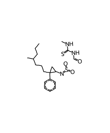 CCCC(C)CCCC1(c2ccccc2)CC1N=S(=O)=O.CNC(=S)NC=O